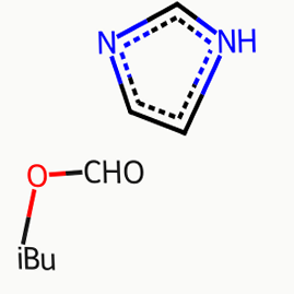 CCC(C)OC=O.c1c[nH]cn1